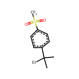 CCC(C)(C)c1ccc(S(=O)(=O)C(F)(F)F)cc1